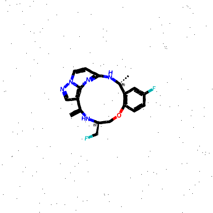 C=C1N[C@H](CF)COc2ccc(F)cc2[C@@H](C)Nc2ccn3ncc1c3n2